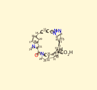 Cc1c2ccc3c1nnn3CCCCCc1ccc3c(c1)cc(n3C)C(=O)N1CCc3ccc(cc3C1)[C@@H]2[C@@H](C)C(=O)O